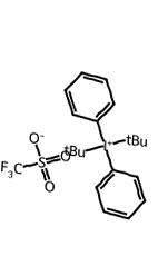 CC(C)(C)[I+](c1ccccc1)(c1ccccc1)C(C)(C)C.O=S(=O)([O-])C(F)(F)F